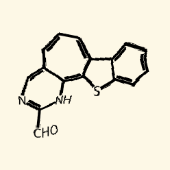 O=CC1=NC=C2C=CC=c3c(sc4ccccc34)=C2N1